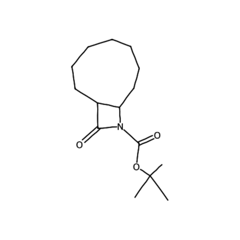 CC(C)(C)OC(=O)N1C(=O)C2CCCCCCCC21